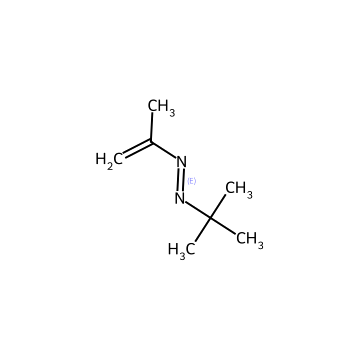 C=C(C)/N=N/C(C)(C)C